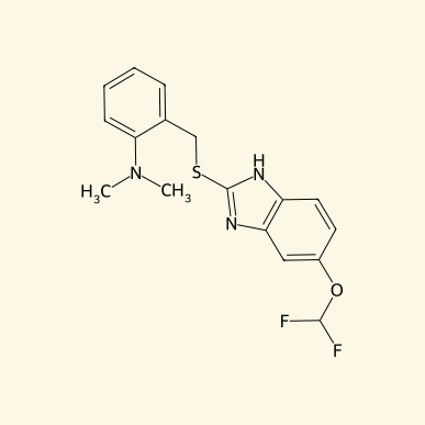 CN(C)c1ccccc1CSc1nc2cc(OC(F)F)ccc2[nH]1